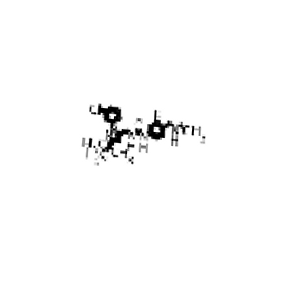 CCNCc1ccc(NC(=O)NCc2cc(C(C)(C)C)nn2-c2cccc(Cl)c2)cc1F